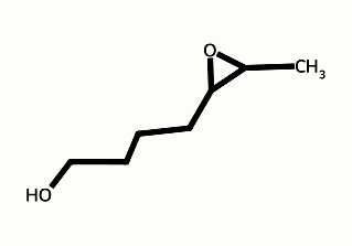 CC1OC1CCCCO